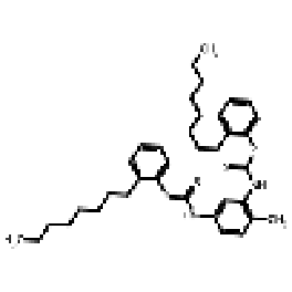 CCCCCCCCc1ccccc1SC(=S)Nc1ccc(C)c(NC(=S)Sc2ccccc2CCCCCCCC)c1